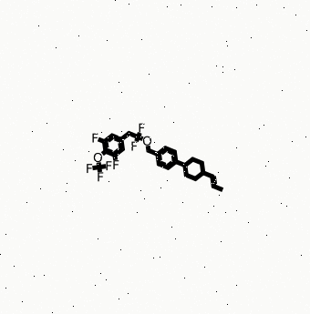 CC=CC1CCC(c2ccc(COC(F)(F)Cc3cc(F)c(OC(F)(F)F)c(F)c3)cc2)CC1